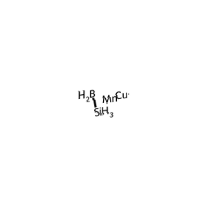 B[SiH3].[Cu].[Mn]